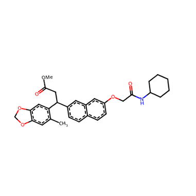 COC(=O)CC(c1ccc2ccc(OCC(=O)NC3CCCCC3)cc2c1)c1cc2c(cc1C)OCO2